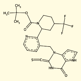 CC(C)(C)OC(=O)N1CCC(C(F)(F)F)CC1c1ncccc1CN1C(=C=S)NC(=O)c2[nH]ccc21